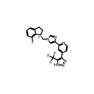 Fc1cccc2c1[C@H](Cn1cnc(-c3cc(-c4nn[nH]c4C(F)(F)F)ccn3)c1)CC2